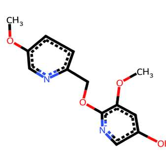 COc1ccc(COc2ncc(O)cc2OC)nc1